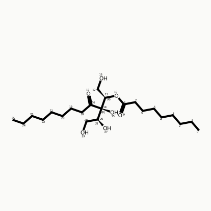 CCCCCCCCC(=O)O[C@H](CO)[C@@](O)(C(=O)CCCCCCCC)[C@@H](O)CO